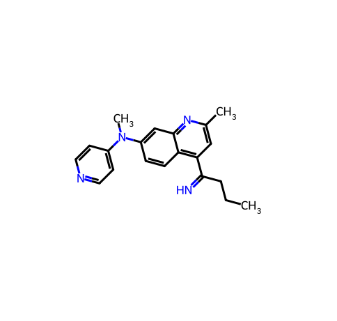 CCCC(=N)c1cc(C)nc2cc(N(C)c3ccncc3)ccc12